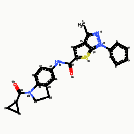 Cc1nn(-c2ccccc2)c2sc(C(=O)Nc3ccc4c(c3)CCN4C(=O)C3CC3)cc12